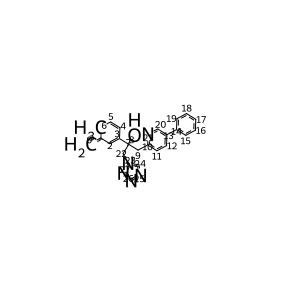 C=C/C=C(\C=C/C)[C@@](O)(Cc1ccc(-c2ccccc2)cn1)Cn1cnnn1